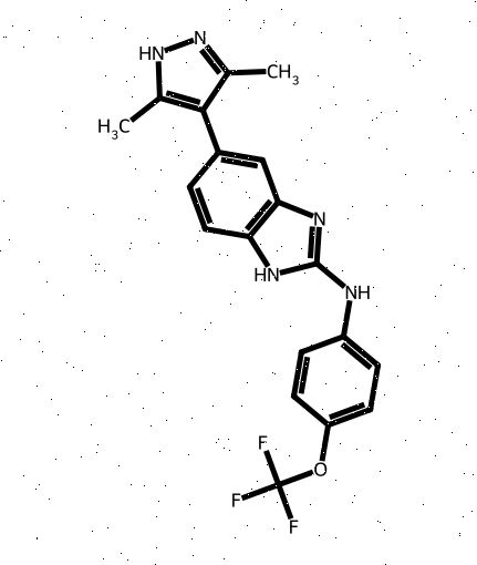 Cc1n[nH]c(C)c1-c1ccc2[nH]c(Nc3ccc(OC(F)(F)F)cc3)nc2c1